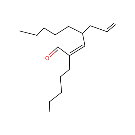 C=CCC(C=C(C=O)CCCCC)CCCCC